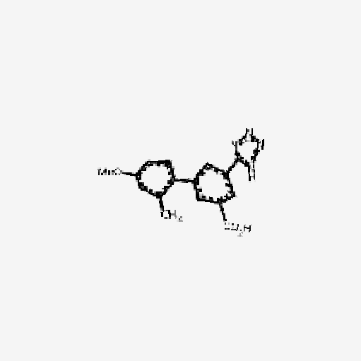 COc1ccc(-c2cc(C(=O)O)cc(-c3nnn[nH]3)c2)c(C)c1